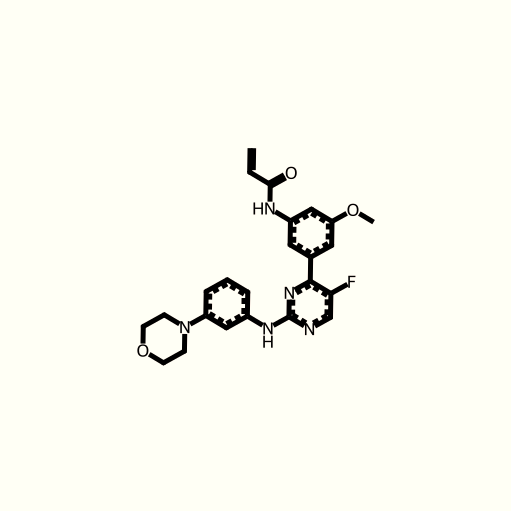 C=CC(=O)Nc1cc(OC)cc(-c2nc(Nc3cccc(N4CCOCC4)c3)ncc2F)c1